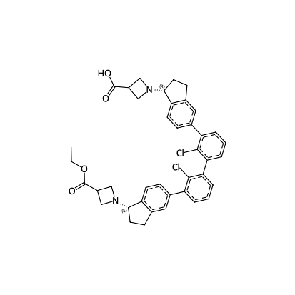 CCOC(=O)C1CN([C@H]2CCc3cc(-c4cccc(-c5cccc(-c6ccc7c(c6)CC[C@H]7N6CC(C(=O)O)C6)c5Cl)c4Cl)ccc32)C1